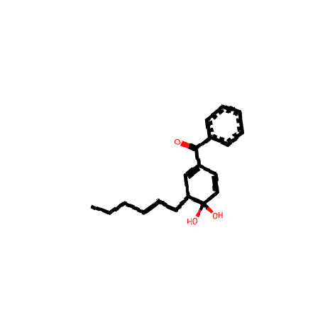 CCCCCCC1C=C(C(=O)c2ccccc2)C=CC1(O)O